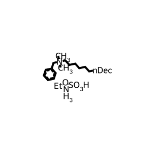 CCCCCCCCCCCCCCCC[N+](C)(C)Cc1ccccc1.CCOS(=O)(=O)O.N